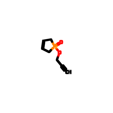 C#CCOP1(=O)CC=CC1